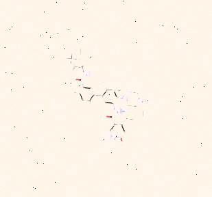 C[C@H]1CN(c2cc(F)c(-c3cc(C(=O)NC(C)(C)CC(C)(C)C)c(F)cc3F)cc2NC(=O)c2c[nH]c(=O)cc2C(F)F)CCN1C